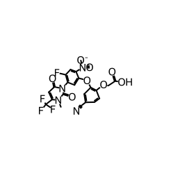 Cn1c(C(F)(F)F)cc(=O)n(-c2cc(Oc3cc(C#N)ccc3OCC(=O)O)c([N+](=O)[O-])cc2F)c1=O